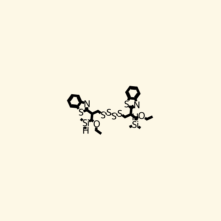 CCOC(C(CSSSSCC(c1nc2ccccc2s1)C(OCC)[SiH](C)C)c1nc2ccccc2s1)[SiH](C)C